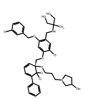 CC(CO)(CO)NCc1cc(Cl)c(OC[C@]2(OCCCN3CCC(O)C3)C=CC=C(c3ccccc3)C2(Cl)Cl)cc1OCc1cccc(Cl)c1